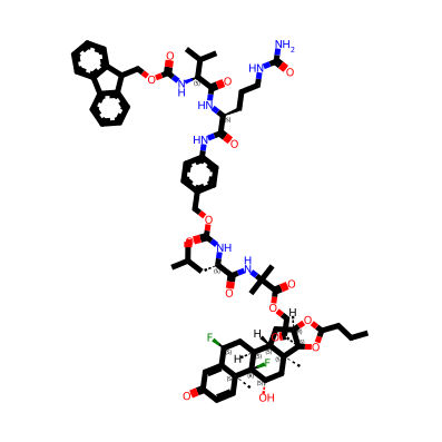 CCCC1O[C@@H]2C[C@H]3[C@@H]4C[C@H](F)C5=CC(=O)C=C[C@]5(C)[C@@]4(F)[C@@H](O)C[C@]3(C)[C@]2(C(=O)COC(=O)C(C)(C)NC(=O)[C@H](CC(C)C)NC(=O)OCc2ccc(NC(=O)[C@H](CCCNC(N)=O)NC(=O)[C@@H](NC(=O)OCC3c4ccccc4-c4ccccc43)C(C)C)cc2)O1